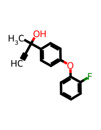 C#CC(C)(O)c1ccc(Oc2ccccc2F)cc1